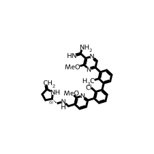 C=C1CC[C@@H](CNCc2ccc(-c3cccc(-c4cccc(-c5cnc(C(=N)N)c(OC)n5)c4C)c3Cl)nc2OC)N1